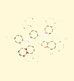 CC(C)(C)c1ccc(N2c3cc4c(cc3B3c5oc6cc7c(cc6c5N(c5ccc6c(c5)C(C)(C)CCC6(C)C)c5cc(C68CC9CC(CC(C9)C6)C8)cc2c53)C(C)(C)CCC7(C)C)C(C)(C)CCC4(C)C)c(-c2ccccc2)c1